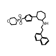 O=S(=O)(c1ccc(C2CCCCC(NCCc3cccc4ccccc34)C2)cc1)N1CCOCC1